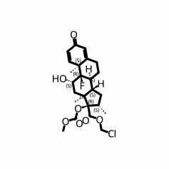 COC(=O)O[C@]1(C(=O)OCCl)[C@@H](C)C[C@H]2[C@@H]3CCC4=CC(=O)C=C[C@]4(C)[C@@]3(F)[C@@H](O)C[C@@]21C